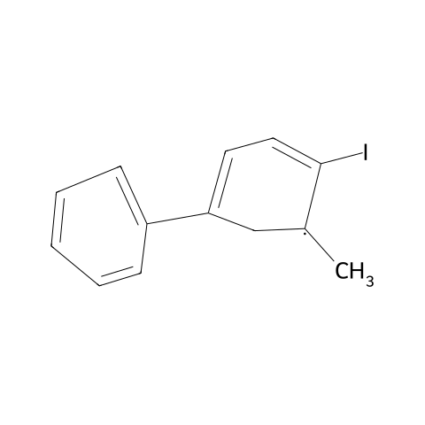 C[C]1CC(c2ccccc2)=CC=C1I